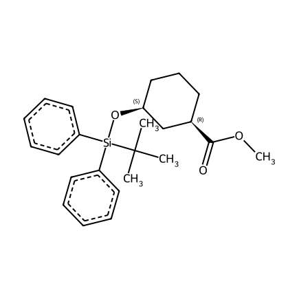 COC(=O)[C@@H]1CCC[C@H](O[Si](c2ccccc2)(c2ccccc2)C(C)(C)C)C1